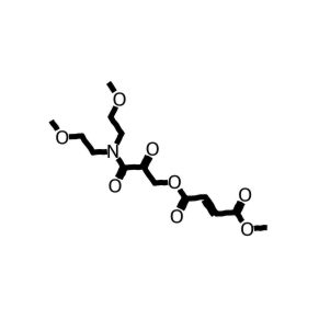 COCCN(CCOC)C(=O)C(=O)COC(=O)/C=C/C(=O)OC